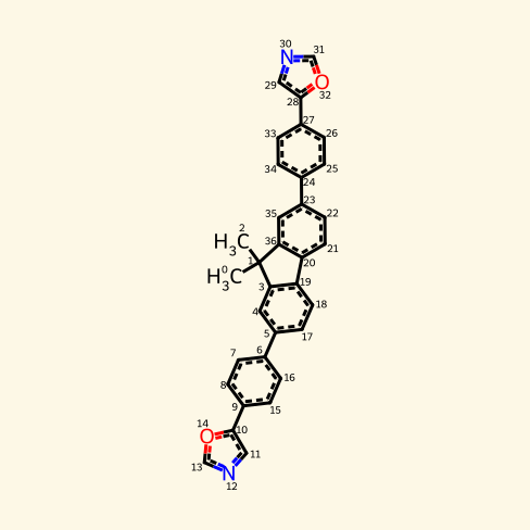 CC1(C)c2cc(-c3ccc(-c4cnco4)cc3)ccc2-c2ccc(-c3ccc(-c4cnco4)cc3)cc21